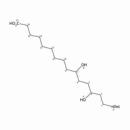 CCCCCCCCCCCCC(O)CCC(O)CCCCCCCCC(=O)O